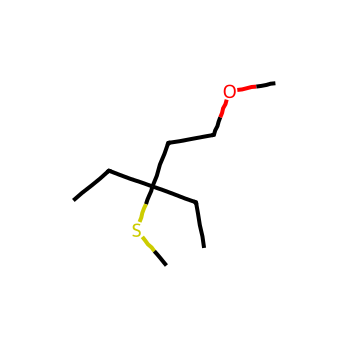 CCC(CC)(CCOC)SC